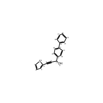 OC(C#Cc1cccs1)c1ccc(-c2ccccc2)cc1